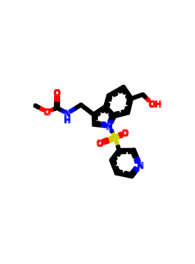 COC(=O)NCc1cn(S(=O)(=O)c2cccnc2)c2cc(CO)ccc12